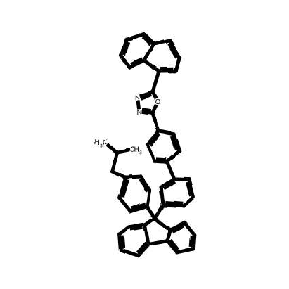 CC(C)Cc1ccc(C2(c3cccc(-c4ccc(-c5nnc(-c6cccc7ccccc67)o5)cc4)c3)c3ccccc3-c3ccccc32)cc1